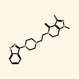 C=C1c2c(C)nn(C)c2CCN1CCN1CCN(c2nsc3ccccc23)CC1